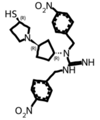 N=C(NCc1ccc([N+](=O)[O-])cc1)N(Cc1ccc([N+](=O)[O-])cc1)[C@@H]1CC[C@@H](N2CC[C@@H](S)C2)C1